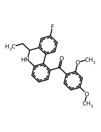 CCC1Nc2cccc(C(=O)c3ccc(OC)cc3OC)c2-c2ccc(F)cc21